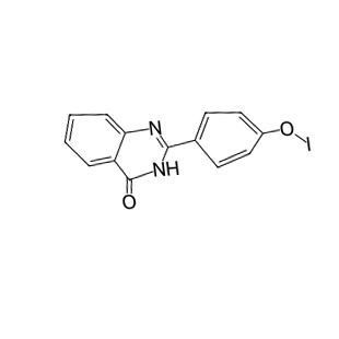 O=c1[nH]c(-c2ccc(OI)cc2)nc2ccccc12